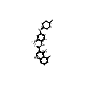 Cc1cccc2[nH]cc(C(=O)Nc3ccc(N=C4CCC(C)CC4)cc3C(F)(F)F)c(=O)c12